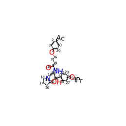 CC(=O)c1ccc(OCCCC(=O)N[C@H](CN2CCCC2)[C@H](O)c2ccc(OC(C)C)cc2)cc1